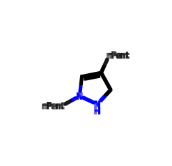 CCCCCC1=CN(CCCCC)NC1